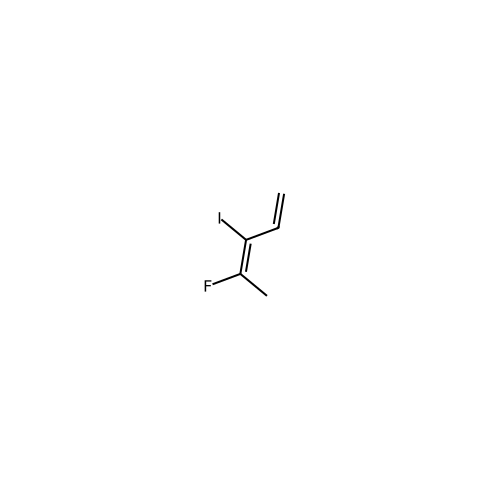 C=C/C(I)=C(\C)F